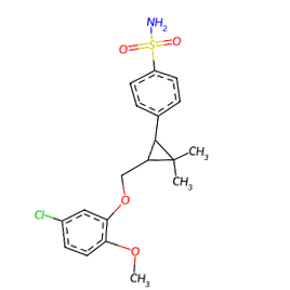 COc1ccc(Cl)cc1OCC1C(c2ccc(S(N)(=O)=O)cc2)C1(C)C